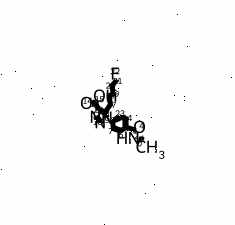 CCNC(=O)c1ccc(-n2nnc(C(=O)O)c2CCCCCF)cc1